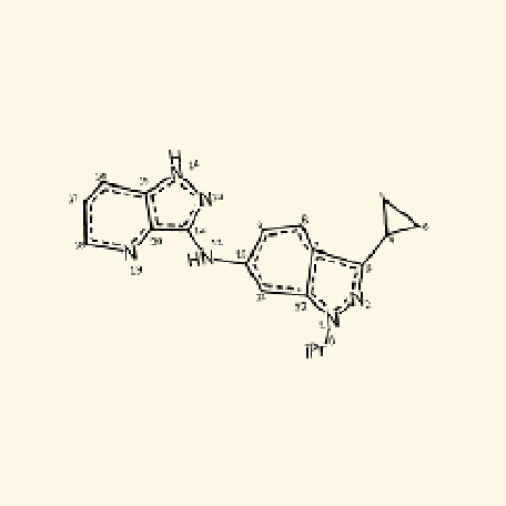 CC(C)n1nc(C2CC2)c2ccc(Nc3n[nH]c4cccnc34)cc21